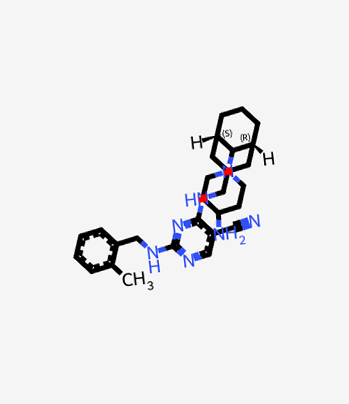 Cc1ccccc1CNc1ncc(C#N)c(NCC2C[C@H]3CCC[C@@H](C2)C3N2CCC(N)CC2)n1